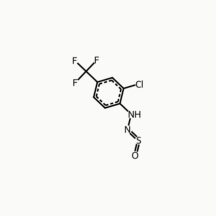 O=S=NNc1ccc(C(F)(F)F)cc1Cl